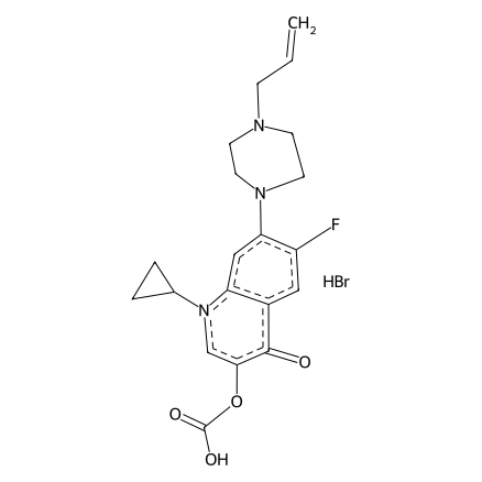 Br.C=CCN1CCN(c2cc3c(cc2F)c(=O)c(OC(=O)O)cn3C2CC2)CC1